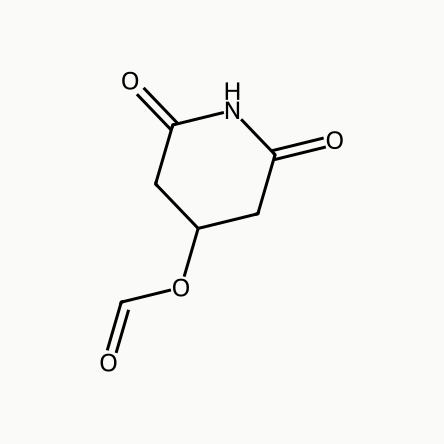 O=COC1CC(=O)NC(=O)C1